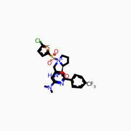 CN(C)c1cc(C[N+]2(S(=O)(=O)c3ccc(Cl)s3)CCC[C@H]2C(N)=O)cc(-c2ccc(C(F)(F)F)cc2)n1